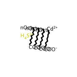 CCCCCCCC/C=C\CCCCCCCC(=O)[O-].CCCCCCCC/C=C\CCCCCCCC(=O)[O-].CCCCCCCC/C=C\CCCCCCCC(=O)[O-].CCCCCCCC/C=C\CCCCCCCC(=O)[O-].[Cd+2].[SH4+2]